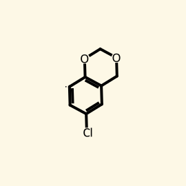 Clc1c[c]c2c(c1)COCO2